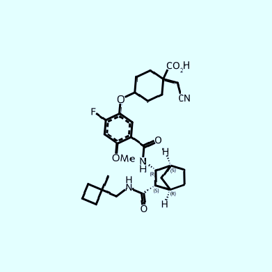 COc1cc(F)c(OC2CCC(CC#N)(C(=O)O)CC2)cc1C(=O)N[C@@H]1[C@H]2CC[C@H](C2)[C@@H]1C(=O)NCC1(C)CCC1